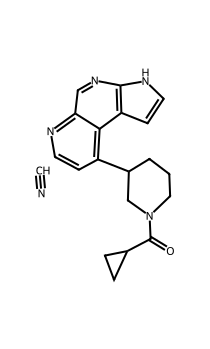 C#N.O=C(C1CC1)N1CCCC(c2ccnc3cnc4[nH]ccc4c23)C1